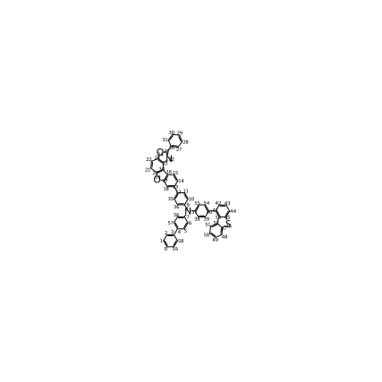 c1ccc(-c2ccc(N(c3ccc(-c4ccc5c(c4)oc4ccc6oc(-c7ccccc7)nc6c45)cc3)c3ccc(-c4cccc5sc6ccccc6c45)cc3)cc2)cc1